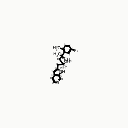 Cc1ccc(F)cc1C(C)(C)CC(O)(Cc1cc2ccncc2[nH]1)C(C)C